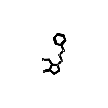 O=C1CCN(SOOc2ccccc2)C1CF